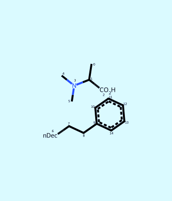 CC(C(=O)O)N(C)C.CCCCCCCCCCCCc1ccccc1